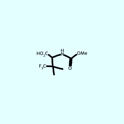 COC(=O)NC(C(=O)O)C(C)(C)C(F)(F)F